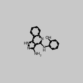 Nc1n[nH]c2c1c(Nc1ccccc1O)nc1ccccc12